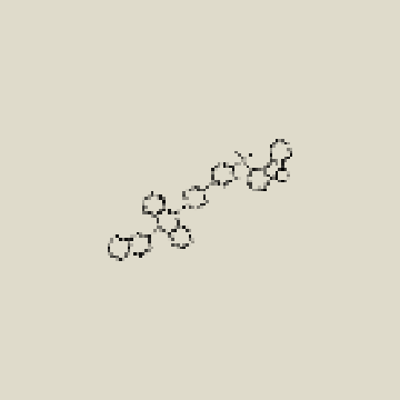 CC1(C)c2ccc(-c3ccc(-c4c5ccccc5c(-c5ccc6ccccc6c5)c5ccccc45)cc3)cc2-c2ccc3oc4ccccc4c3c21